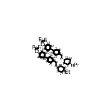 CCC[C@H]1CC[C@H](CCc2ccc(-c3ccc(OC(F)F)cc3)cc2)CC1.CC[C@H]1CC[C@H](CCc2ccc(-c3ccc(OC(F)F)cc3)cc2)CC1